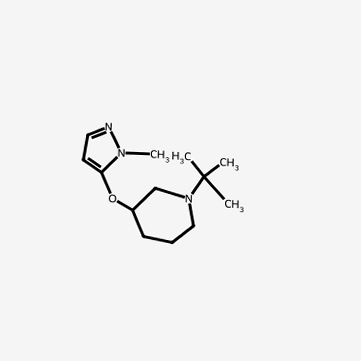 Cn1nccc1OC1CCCN(C(C)(C)C)C1